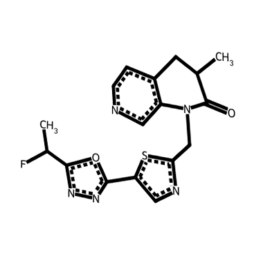 CC1Cc2ccncc2N(Cc2ncc(-c3nnc(C(C)F)o3)s2)C1=O